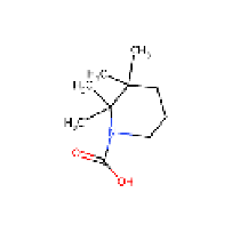 CC1(C)CCCN(C(=O)O)C1(C)C